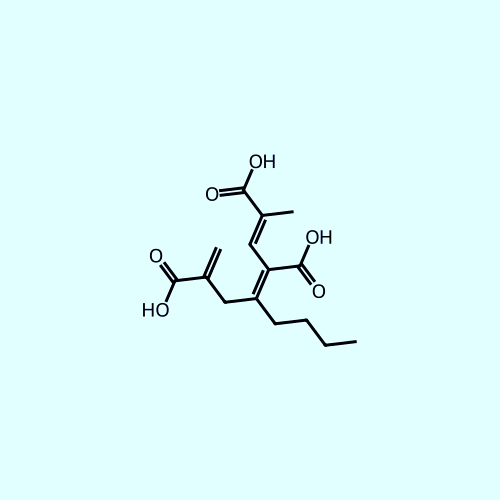 C=C(CC(CCCC)=C(C=C(C)C(=O)O)C(=O)O)C(=O)O